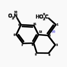 O=C(O)/C=C1/CCCc2ccc([N+](=O)[O-])cc21